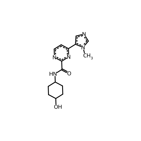 Cn1cncc1-c1ccnc(C(=O)NC2CCC(O)CC2)n1